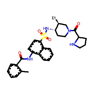 CC[C@H]1CN(C(=O)C2CCCN2)CC[C@@H]1NS(=O)(=O)c1ccc(NC(=O)c2ccccc2C)c2ccccc12